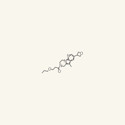 CCCOCCC(=O)N1CCn2c(c(C)c3cc(C4COC4)cnc32)C1